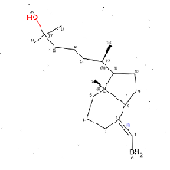 B/C=C1\CCC[C@@]2(C)C1CCC2[C@H](C)CCCC(C)(C)O